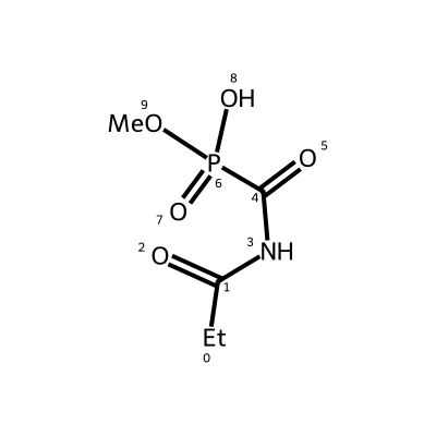 CCC(=O)NC(=O)P(=O)(O)OC